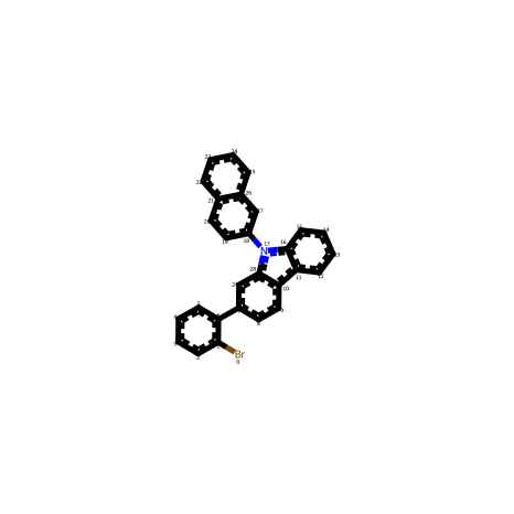 Brc1ccccc1-c1ccc2c3ccccc3n(-c3ccc4ccccc4c3)c2c1